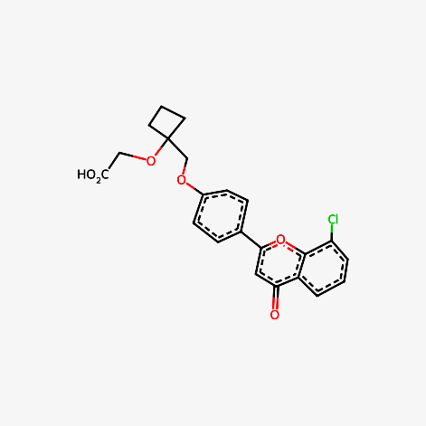 O=C(O)COC1(COc2ccc(-c3cc(=O)c4cccc(Cl)c4o3)cc2)CCC1